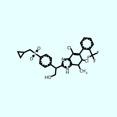 CC1c2[nH]c(C(CO)c3ccc(S(=O)(=O)CC4CC4)cc3)nc2C(Cl)=C(c2ccccc2C(F)(F)F)C1Cl